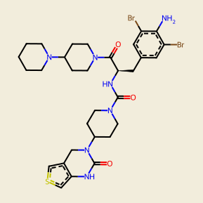 Nc1c(Br)cc(C[C@@H](NC(=O)N2CCC(N3Cc4cscc4NC3=O)CC2)C(=O)N2CCC(N3CCCCC3)CC2)cc1Br